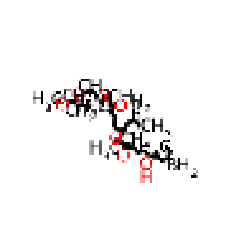 BC(CC)CCC(O)CCCC(=O)C(C)(C)OC(CCCC(=O)C(C)(C)OCCC(C)(C)OCC(C)(C)OC)CCC(B)CC